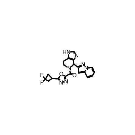 O=C(c1nnc(C2CC(F)(F)C2)o1)N1CCc2[nH]cnc2C1c1cc2ccccn2n1